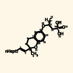 CCCCCCCC=CC1(C)CCc2cc(OC(C)CP(=O)(O)O)ccc2O1